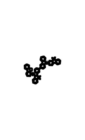 CC1(C)c2ccccc2-c2ccc(-n3c4ccccc4c4cc(-c5ccc6c(c5)c5c(n6-c6cccc7c6oc6ccccc67)-c6ccccc6C5(C)C)ccc43)cc21